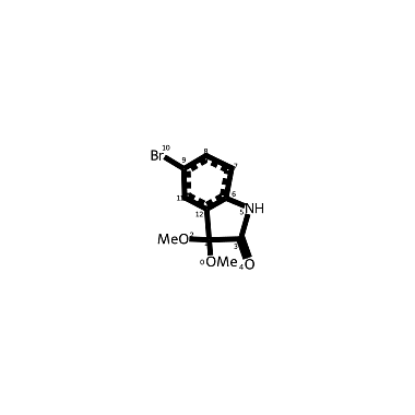 COC1(OC)C(=O)Nc2ccc(Br)cc21